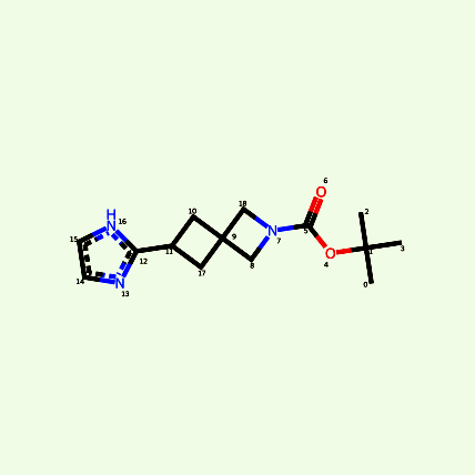 CC(C)(C)OC(=O)N1CC2(CC(c3ncc[nH]3)C2)C1